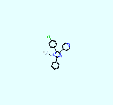 CCn1c(-c2ccccc2)nc(-c2ccncc2)c1-c1ccc(Cl)cc1